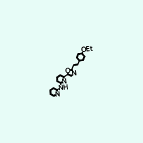 CCOc1ccc(C=Cc2ncc(-c3cccc(Nc4ccccn4)n3)o2)cc1